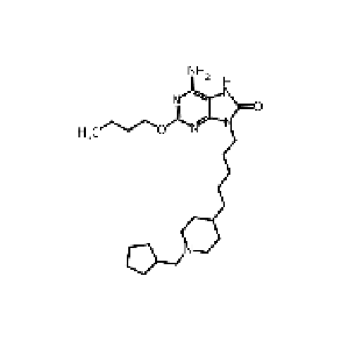 CCCCOc1nc(N)c2[nH]c(=O)n(CCCCCC3CCN(CC4CCCC4)CC3)c2n1